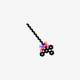 CCCCCCCCCCCCCCCCCC(=O)NC(=O)c1c(-c2ccccc2)c(-c2ccccc2)cc(-c2ccccc2)c1I(=O)=O